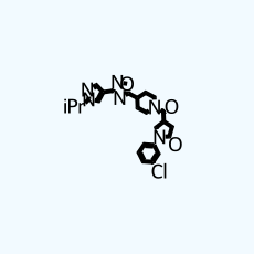 CC(C)n1cc(-c2noc(C3CCN(C(=O)C4CC(=O)N(c5cccc(Cl)c5)C4)CC3)n2)cn1